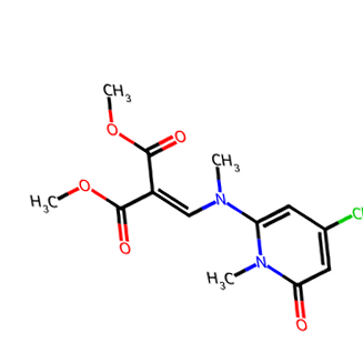 COC(=O)C(=CN(C)c1cc(Cl)cc(=O)n1C)C(=O)OC